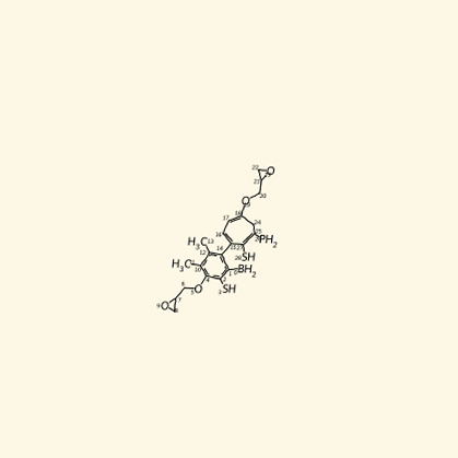 Bc1c(S)c(OCC2CO2)c(C)c(C)c1C1=CC=C(OCC2CO2)CC(P)=C1S